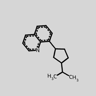 CC(C)C1CCC(c2cccc3cccnc23)C1